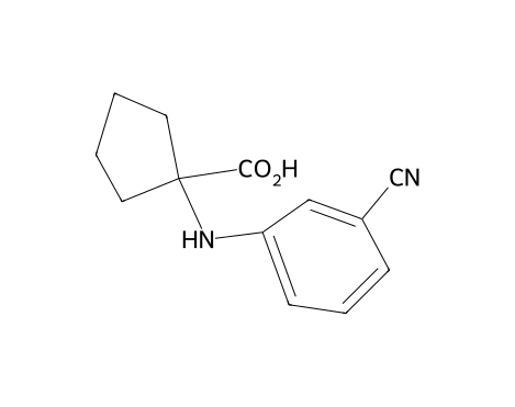 N#Cc1cccc(NC2(C(=O)O)CCCC2)c1